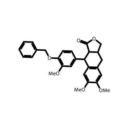 COc1cc2c(cc1OC)C(c1ccc(OCc3ccccc3)c(OC)c1)C1C(=O)OCC1C2